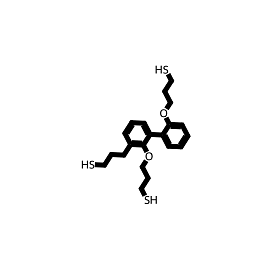 SCCCOc1ccccc1-c1cccc(CCCS)c1OCCCS